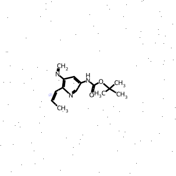 C=Nc1cc(NC(=O)OC(C)(C)C)cnc1/C=C\C